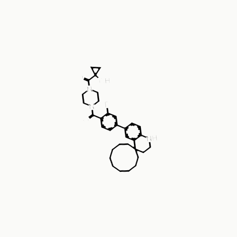 O=C(c1ccc(-c2ccc3c(c2)C2(CCCCCCCCC2)CCN3)cc1F)N1CCN(C(=O)C2(O)CC2)CC1